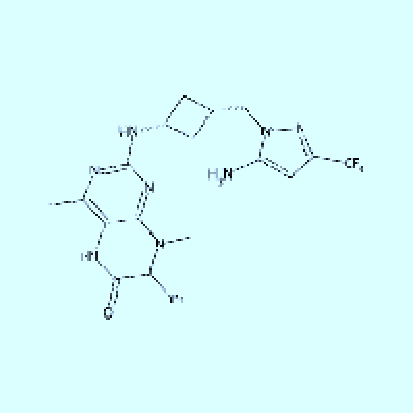 Cc1nc(N[C@H]2C[C@@H](Cn3nc(C(F)(F)F)cc3N)C2)nc2c1NC(=O)C(C(C)C)N2C